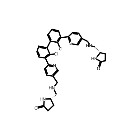 O=C1CC[C@@H](CNCc2ccc(-c3cccc(-c4cccc(-c5ccc(CNC[C@@H]6CCC(=O)N6)cn5)c4Cl)c3Cl)nc2)N1